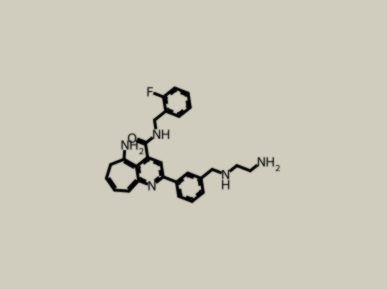 NCCNCc1cccc(-c2cc(C(=O)NCc3ccccc3F)c3c(n2)=CC=CCC=3N)c1